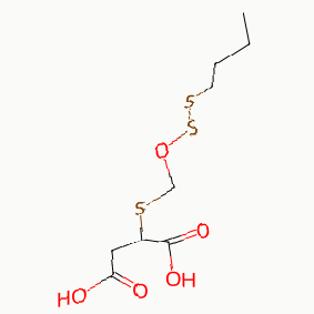 CCCCSSOCSC(CC(=O)O)C(=O)O